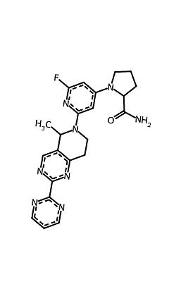 CC1c2cnc(-c3ncccn3)nc2CCN1c1cc(N2CCCC2C(N)=O)cc(F)n1